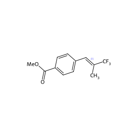 COC(=O)c1ccc(/C=C(\C)C(F)(F)F)cc1